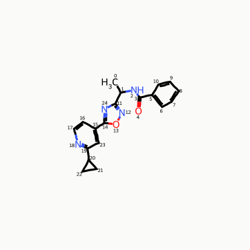 CC(NC(=O)c1ccccc1)c1noc(-c2ccnc(C3CC3)c2)n1